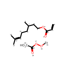 C=CC(=O)OCCC(C)CCC=C(C)C.CCOOC(=O)C(=O)O